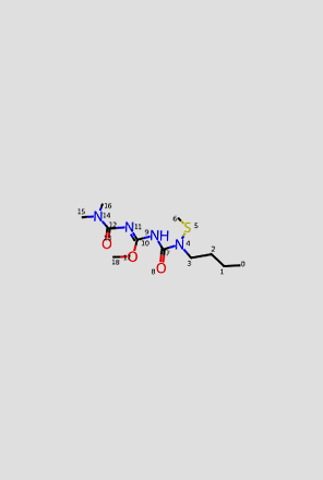 CCCCN(SC)C(=O)NC(=NC(=O)N(C)C)OC